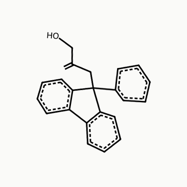 C=C(CO)CC1(c2ccccc2)c2ccccc2-c2ccccc21